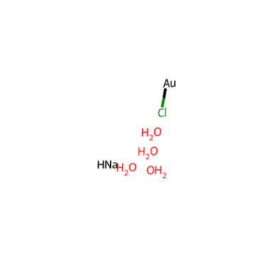 O.O.O.O.[Cl][Au].[NaH]